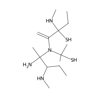 C=C(N(C(C)(C)S)C(C)(N)C(CC)NC)C(S)(CC)NC